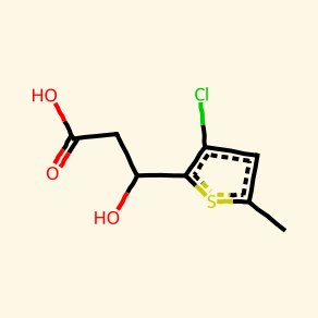 Cc1cc(Cl)c(C(O)CC(=O)O)s1